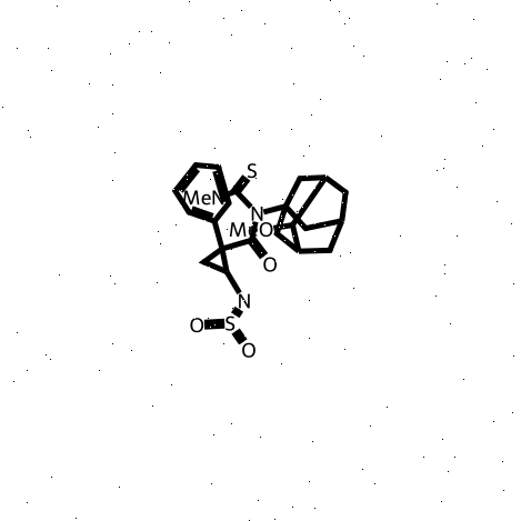 CNC(=S)N(C(=O)C1(c2ccccc2)CC1N=S(=O)=O)C12CC3CC(C1)C(OC)C(C3)C2